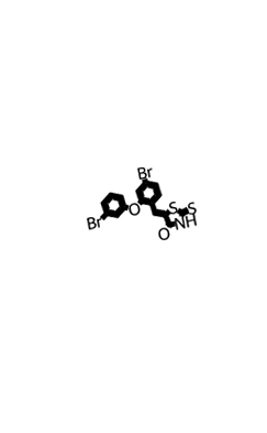 O=C1NC(=S)S/C1=C\c1ccc(Br)cc1Oc1cccc(Br)c1